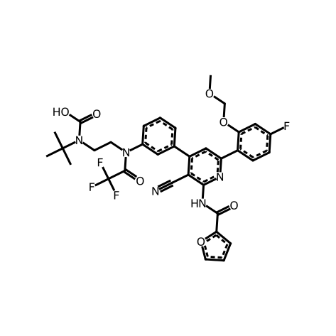 COCOc1cc(F)ccc1-c1cc(-c2cccc(N(CCN(C(=O)O)C(C)(C)C)C(=O)C(F)(F)F)c2)c(C#N)c(NC(=O)c2ccco2)n1